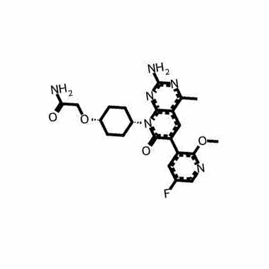 COc1ncc(F)cc1-c1cc2c(C)nc(N)nc2n([C@H]2CC[C@@H](OCC(N)=O)CC2)c1=O